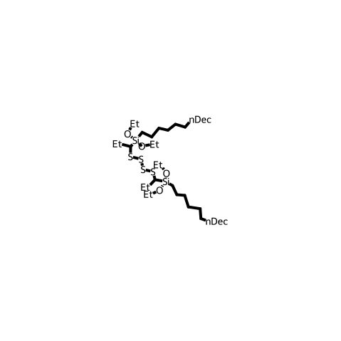 CCCCCCCCCCCCCCCC[Si](OCC)(OCC)C(CC)SSSSC(CC)[Si](CCCCCCCCCCCCCCCC)(OCC)OCC